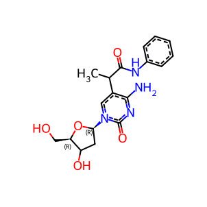 CC(C(=O)Nc1ccccc1)c1cn([C@H]2CC(O)[C@@H](CO)O2)c(=O)nc1N